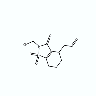 C=CCC1CCCC2=C1C(=O)N(CCl)S2(=O)=O